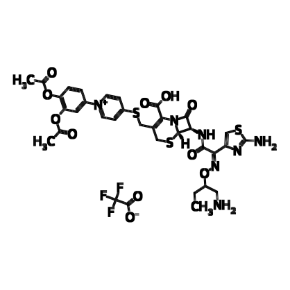 CCC(CN)O/N=C(\C(=O)N[C@@H]1C(=O)N2C(C(=O)O)=C(CSc3cc[n+](-c4ccc(OC(C)=O)c(OC(C)=O)c4)cc3)CS[C@@H]12)c1csc(N)n1.O=C([O-])C(F)(F)F